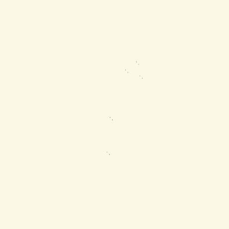 c1ccc(-c2nc(-c3ccccc3)nc(-c3ccc4c(-n5c6ccccc6c6cc7c8cc(-c9ccccc9)c9ccccc9c8n(-c8ccccc8)c7cc65)cccc4c3)n2)cc1